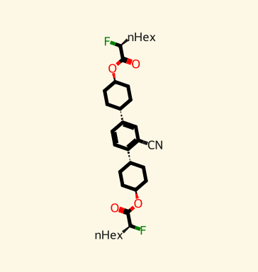 CCCCCC[C@H](F)C(=O)O[C@H]1CC[C@H](c2ccc([C@H]3CC[C@H](OC(=O)[C@@H](F)CCCCCC)CC3)c(C#N)c2)CC1